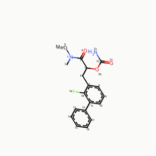 CON(C)C(=O)C(Cc1cccc(-c2ccccc2)c1F)OC(N)=O